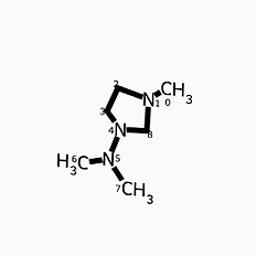 CN1CCN(N(C)C)C1